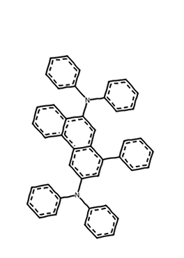 c1ccc(-c2cc(N(c3ccccc3)c3ccccc3)cc3c2cc(N(c2ccccc2)c2ccccc2)c2ccccc23)cc1